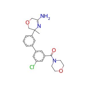 CC1(c2cccc(-c3cc(Cl)cc(C(=O)N4CCOCC4)c3)c2)COCC(N)=N1